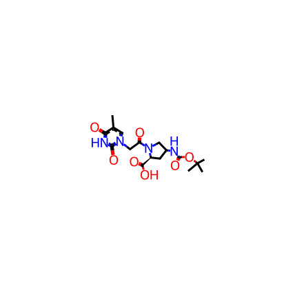 Cc1cn(CC(=O)N2CC(NC(=O)OC(C)(C)C)C[C@H]2C(=O)O)c(=O)[nH]c1=O